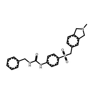 CN1Cc2ccc(CS(=O)(=O)c3ccc(NC(=O)NCc4ccccc4)cc3)cc2C1